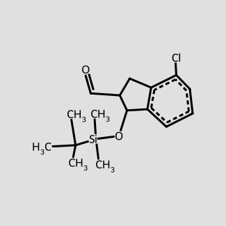 CC(C)(C)[Si](C)(C)OC1c2cccc(Cl)c2CC1C=O